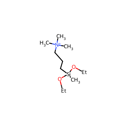 CCO[Si](C)(CCC[N+](C)(C)C)OCC